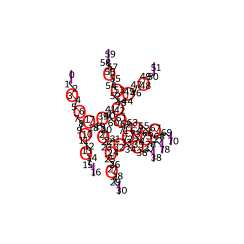 ICCOCCOCC(COCCOCCI)OCC(COC(COCCOCCI)COCCOCCI)OC(COC(COCCOCCI)COCCOCCI)COC(COCCOCCI)COCCOCCI